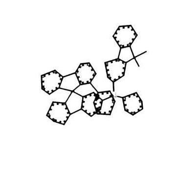 CC1(C)c2ccccc2-c2ccc(N(c3ccccc3)c3ccc4c(c3)C3(c5ccccc5-4)c4ccccc4-c4cccc(-c5ccccc5)c43)cc21